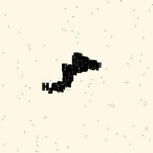 CCOc1ccn(-c2ccc(F)cc2)c(=O)c1C(=O)Nc1cc(F)c(Oc2cc(-c3cnn(C)c3)ncn2)cc1F